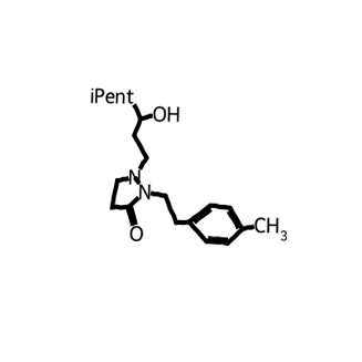 CCCC(C)C(O)CCN1CCC(=O)N1CCc1ccc(C)cc1